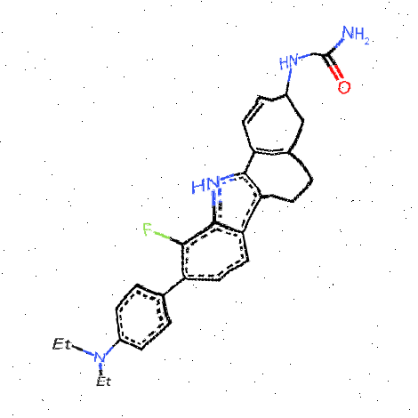 CCN(CC)c1ccc(-c2ccc3c4c([nH]c3c2F)C2=C(CC4)CC(NC(N)=O)C=C2)cc1